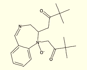 CC(C)(C)C(=O)CC1CN=Cc2ccccc2[N+]1([O-])CC(=O)C(C)(C)C